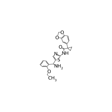 CCOc1ccccc1C(N)c1cnc(NC(=O)C2(c3ccc4c(c3)OCO4)CC2)s1